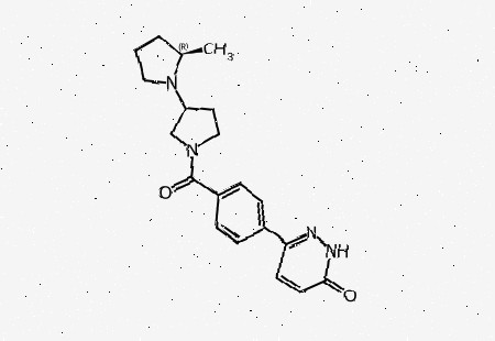 C[C@@H]1CCCN1C1CCN(C(=O)c2ccc(-c3ccc(=O)[nH]n3)cc2)C1